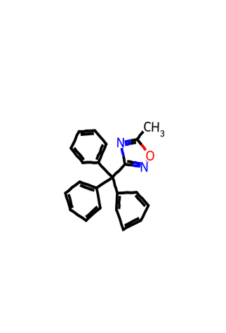 Cc1nc(C(c2ccccc2)(c2ccccc2)c2ccccc2)no1